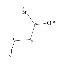 [O]C(Br)CCI